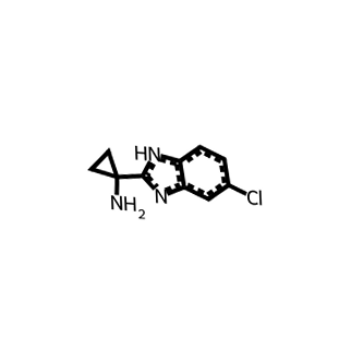 NC1(c2nc3cc(Cl)ccc3[nH]2)CC1